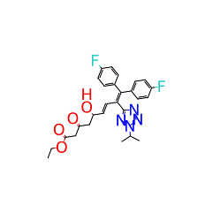 CCOC(=O)CC(=O)CC(O)C=CC(=C(c1ccc(F)cc1)c1ccc(F)cc1)c1nnn(C(C)C)n1